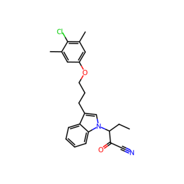 CCC(C(=O)C#N)n1cc(CCCOc2cc(C)c(Cl)c(C)c2)c2ccccc21